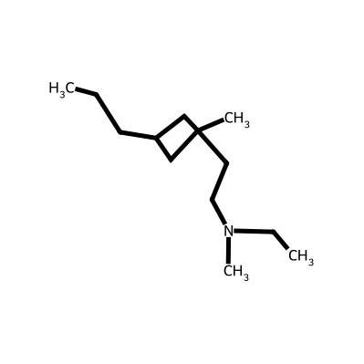 CCCC1CC(C)(CCN(C)CC)C1